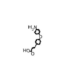 Nc1ccc(Oc2ccc(C=CC(=O)O)cc2)cc1